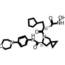 O=C(C[C@@H](CC1CCCC1)C(=O)N1CC2(CC2)C[C@H]1C(=O)Nc1ccc(N2CCOCC2)cc1)NO